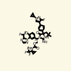 CC(C)(C)CC1(c2ccc(-c3cn(C4CC4)nc3F)cc2)NC(=N)N([C@H](COC(=O)NC2(C(F)(F)F)CC2)c2ccc(Cl)c(-n3ncnc3C(F)F)c2)C1=O